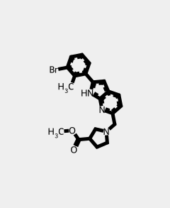 COC(=O)C1CCN(Cc2ccc3cc(-c4cccc(Br)c4C)[nH]c3n2)C1